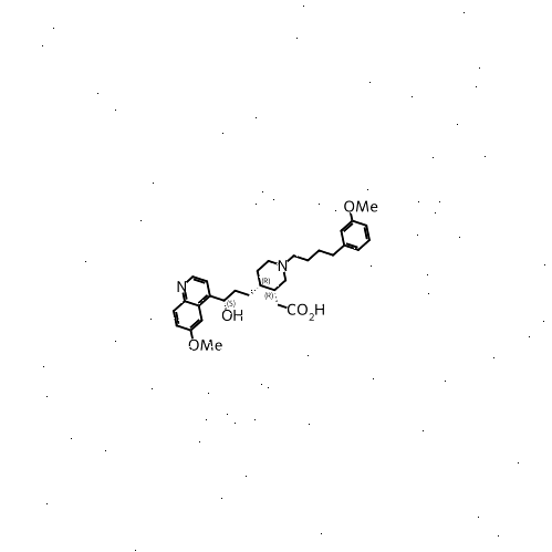 COc1cccc(CCCCN2CC[C@@H](CC[C@H](O)c3ccnc4ccc(OC)cc34)[C@@H](CC(=O)O)C2)c1